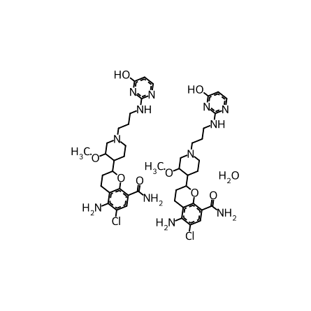 COC1CN(CCCNc2nccc(O)n2)CCC1C1CCc2c(N)c(Cl)cc(C(N)=O)c2O1.COC1CN(CCCNc2nccc(O)n2)CCC1C1CCc2c(N)c(Cl)cc(C(N)=O)c2O1.O